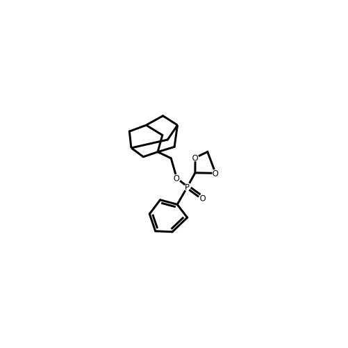 O=P(OCC12CC3CC(CC(C3)C1)C2)(c1ccccc1)C1OCO1